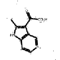 Cc1[nH]c2ccncc2c1C(=O)C(=O)O